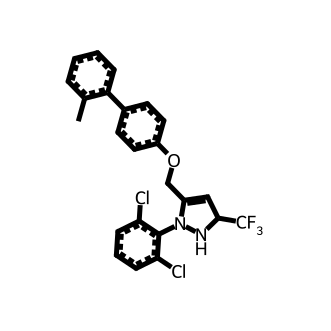 Cc1ccccc1-c1ccc(OCC2=CC(C(F)(F)F)NN2c2c(Cl)cccc2Cl)cc1